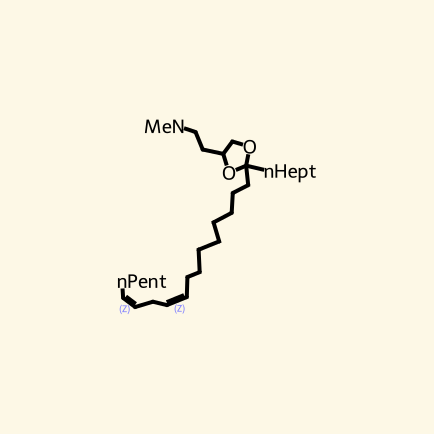 CCCCC/C=C\C/C=C\CCCCCCCCC1(CCCCCCC)OCC(CCNC)O1